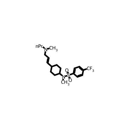 CCCN(C)C/C=C/C1CCC(N(C)S(=O)(=O)c2ccc(C(F)(F)F)cc2)CC1